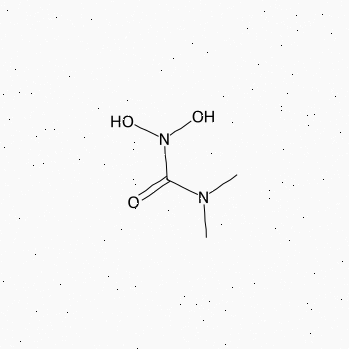 CN(C)C(=O)N(O)O